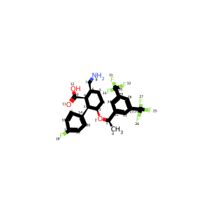 C[C@@H](O[C@@H]1CC[C@H](CN)[C@H](C(=O)O)[C@@H]1c1ccc(F)cc1)c1cc(C(F)(F)F)cc(C(F)(F)F)c1